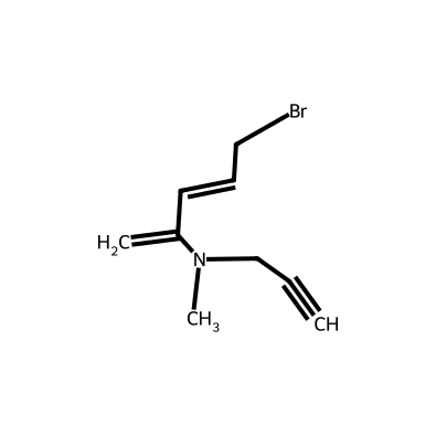 C#CCN(C)C(=C)/C=C/CBr